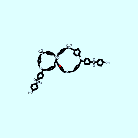 O=S1(=O)c2ccc(cc2)OC(c2ccc(S(=O)(=O)c3ccc(O)cc3)cc2)c2ccc(cc2)CCc2ccc(cc2)C2(Cc3ccc(cc3)C(c3ccc(S(=O)(=O)c4ccc(O)cc4)cc3)Oc3ccc(cc3)S(=O)(=O)c3ccc(cc3)O2)Oc2ccc1cc2